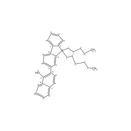 CCCCCCC1(CCCCC)c2ccccc2-c2ccc(-c3ccc4ccccc4c3O)cc21